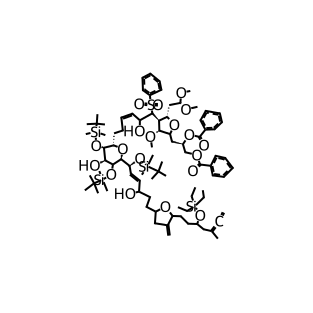 C=C=C(C)CC(CCC1OC(CCC(O)/C=C/[C@H](O[Si](C)(C)C(C)(C)C)[C@@H]2O[C@@H](CC/C=C\C(O)C([C@H]3[C@H](CC(OC)OC)OC(C[C@H](COC(=O)c4ccccc4)OC(=O)c4ccccc4)[C@@H]3OC)S(=O)(=O)c3ccccc3)[C@H](O[Si](C)(C)C(C)(C)C)[C@H](O)C2O[Si](C)(C)C(C)(C)C)CC1=C)O[Si](CC)(CC)CC